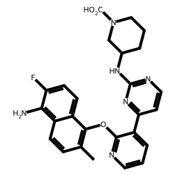 Cc1ccc2c(N)c(F)ccc2c1Oc1ncccc1-c1ccnc(NC2CCCN(C(=O)O)C2)n1